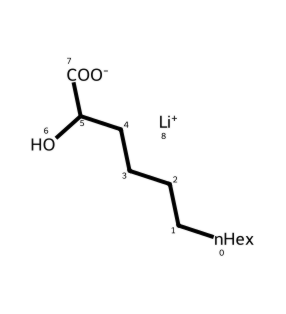 CCCCCCCCCCC(O)C(=O)[O-].[Li+]